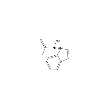 CC(=O)NN.c1ccc2[nH]ccc2c1